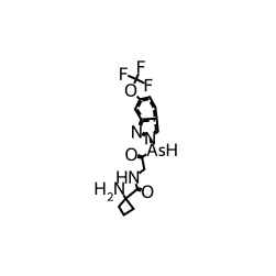 NC1(C(=O)NCC(=O)[AsH]n2cc3ccc(OC(F)(F)F)cc3n2)CCC1